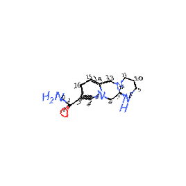 NC(=O)C1=CN2CC3NCCCN3CC2=CC1